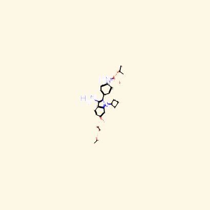 CCOCCOc1ccc2c(N)c(-c3ccc(NC(=O)OC(C)C)cc3)n(C3CCC3)c2c1